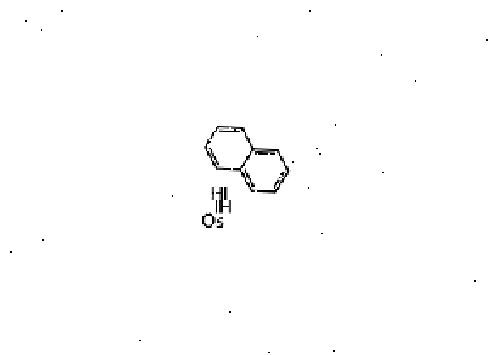 I.I.[Os].c1ccc2ccccc2c1